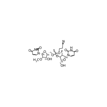 COC1[C@@H](O)[C@@H](COP(=S)(OCCC#N)OC2C(F)[C@H](n3ccc(=O)[nH]c3=O)O[C@@H]2CO)O[C@H]1n1ccc(=O)[nH]c1=O